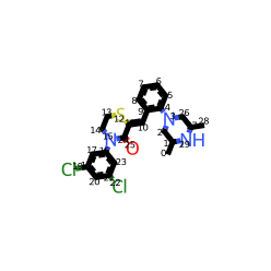 CC1CN(c2ccccc2C=C2SCCN(c3cc(Cl)cc(Cl)c3)C2=O)CC(C)N1